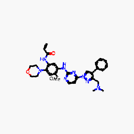 C=CC(=O)Nc1cc(Nc2nccc(-n3cc(-c4ccccc4)c(CN(C)C)n3)n2)c(OC)cc1N1CCOCC1